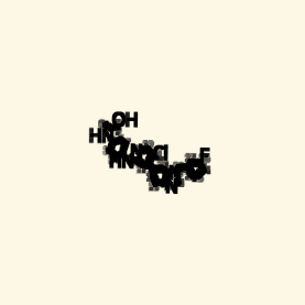 CC(CO)NC1CCC(Nc2cc(-c3ccc4ncn(Cc5cccc(F)c5)c4c3)c(Cl)cn2)CC1